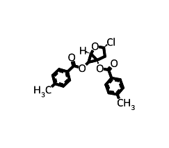 Cc1ccc(C(=O)OC2[C@H]3O[C@H](Cl)C[C@@]23OC(=O)c2ccc(C)cc2)cc1